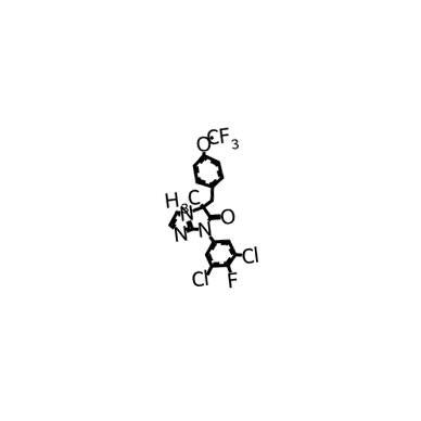 CC1(Cc2ccc(OC(F)(F)F)cc2)C(=O)N(c2cc(Cl)c(F)c(Cl)c2)c2nccn21